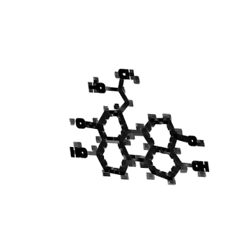 CC(O)Cc1cc(=O)c2c(O)ccc3c4ccc(O)c5c(=O)ccc(c1c23)c54